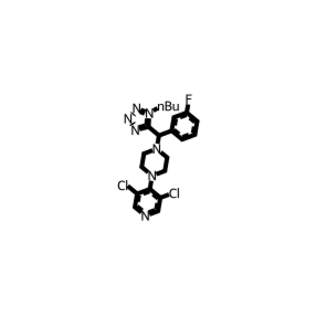 CCCCn1nnnc1C(c1cccc(F)c1)N1CCN(c2c(Cl)cncc2Cl)CC1